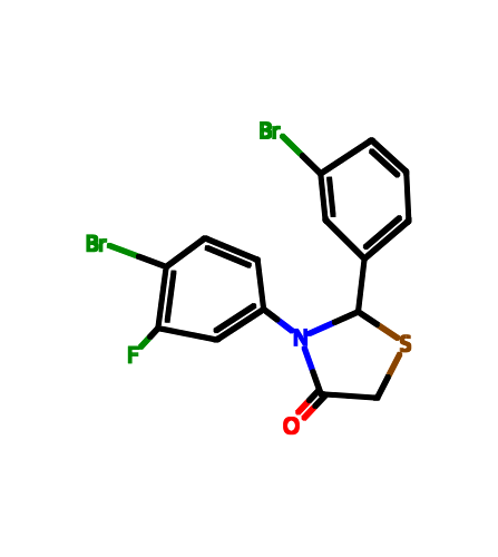 O=C1CSC(c2cccc(Br)c2)N1c1ccc(Br)c(F)c1